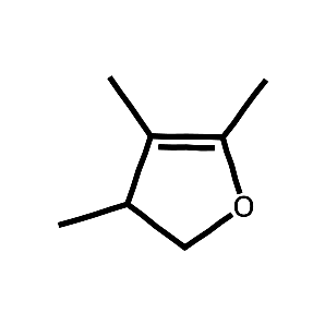 CC1=C(C)C(C)CO1